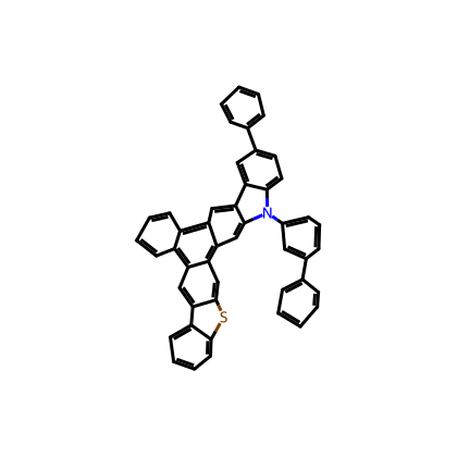 c1ccc(-c2cccc(-n3c4ccc(-c5ccccc5)cc4c4cc5c6ccccc6c6cc7c(cc6c5cc43)sc3ccccc37)c2)cc1